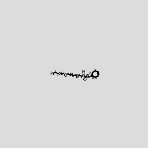 CC(C)CCOCCOCCOCCOCCNC(=O)OC[C@@H]1[C@@H]2CCC#CCC[C@@H]21